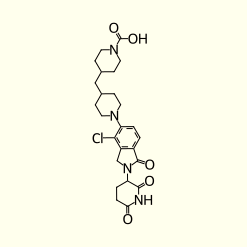 O=C1CCC(N2Cc3c(ccc(N4CCC(CC5CCN(C(=O)O)CC5)CC4)c3Cl)C2=O)C(=O)N1